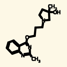 Cc1nc(OCCCN2CCC(C)(O)C2)c2ccccc2n1